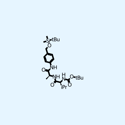 CC(C)[C@H](NC(=O)OC(C)(C)C)C(=O)N[C@@H](C)C(=O)Nc1ccc(CO[Si](C)(C)C(C)(C)C)cc1